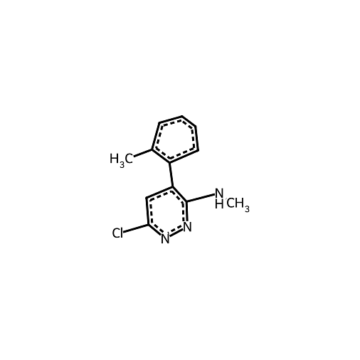 CNc1nnc(Cl)cc1-c1ccccc1C